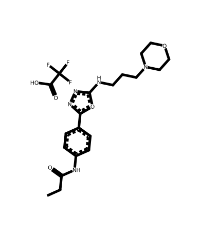 CCC(=O)Nc1ccc(-c2nnc(NCCCN3CCOCC3)o2)cc1.O=C(O)C(F)(F)F